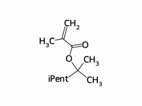 C=C(C)C(=O)OC(C)(C)C(C)CCC